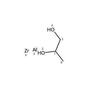 CC(O)CO.[Al].[Zr]